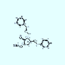 CC(C)(C)O[C@H]1C[C@H](OCc2ccccc2)[C@@H](COCc2ccccc2)C1=O